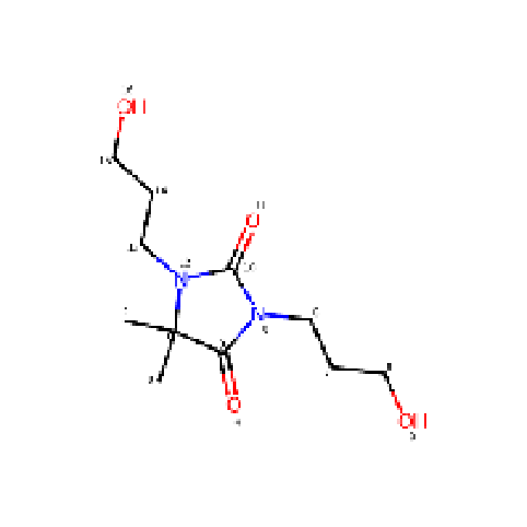 CC1(C)C(=O)N(CCCO)C(=O)N1CCCO